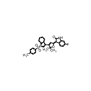 Cc1ccc(S(=O)(=O)n2cc(C3=CC(=C4C(=O)Nc5cc(F)ccc54)OC3(C)C)c3ccccc32)cc1